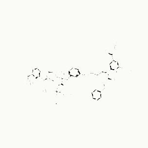 CCOC(=O)c1cc(C)nc(N(CCCOc2cccc(C[C@@](N)(C(=O)OC(C)(C)C)[C@H]3CN(Cc4cccc(C(C)C)c4)C(=O)O3)c2)C(=O)OCc2ccccc2)c1